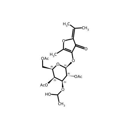 CC(=O)OC[C@H]1O[C@@H](OC2=C(C)OC(=C(C)C)C2=O)[C@H](OC(C)=O)[C@@H](OC(C)O)[C@H]1OC(C)=O